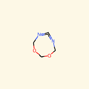 C1=NCOCOCN=1